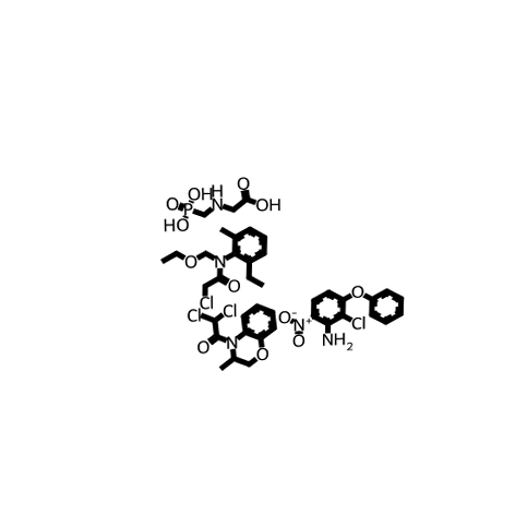 CC1COc2ccccc2N1C(=O)C(Cl)Cl.CCOCN(C(=O)CCl)c1c(C)cccc1CC.Nc1c([N+](=O)[O-])ccc(Oc2ccccc2)c1Cl.O=C(O)CNCP(=O)(O)O